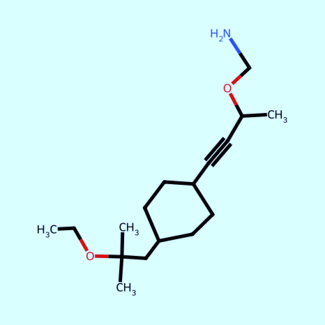 CCOC(C)(C)CC1CCC(C#CC(C)OCN)CC1